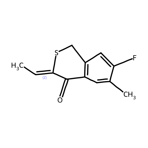 C/C=C1\SCc2cc(F)c(C)cc2C1=O